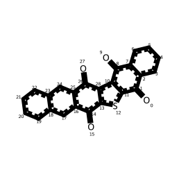 O=c1c2ccccc2c(=O)c2c1sc1c(=O)c3cc4ccccc4cc3c(=O)c12